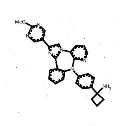 COc1ncc(-c2cn3c(n2)-c2ccccc2N(c2ccc(C4(N)CCC4)cc2)c2ncccc2-3)cn1